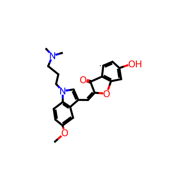 COc1ccc2c(c1)c(C=C1Oc3cc(O)c[c]c3C1=O)cn2CCCN(C)C